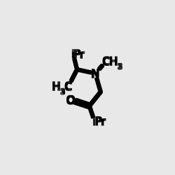 CC(C)C(=O)CN(C)C(C)C(C)C